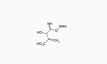 C=C(C(=O)O)C(O)C(=N)ONC